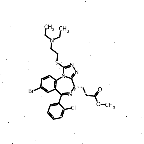 CCN(CC)CCSc1nnc2n1-c1ccc(Br)cc1C(c1ccccc1Cl)=N[C@H]2CCC(=O)OC